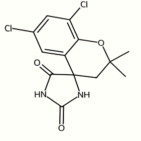 CC1(C)CC2(NC(=O)NC2=O)c2cc(Cl)cc(Cl)c2O1